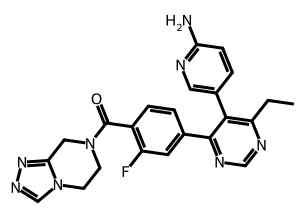 CCc1ncnc(-c2ccc(C(=O)N3CCn4cnnc4C3)c(F)c2)c1-c1ccc(N)nc1